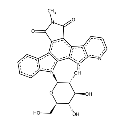 CN1C(=O)c2c(c3c4ccccc4n([C@@H]4O[C@H](CO)[C@@H](O)[C@H](O)[C@H]4O)c3c3[nH]c4ncccc4c23)C1=O